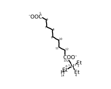 CC[N+](C)(CC)CC.O=C([O-])CCCCCCCC(=O)[O-].[H+]